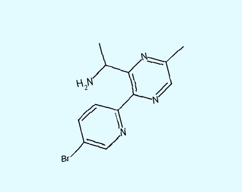 Cc1cnc(-c2ccc(Br)cn2)c(C(C)N)n1